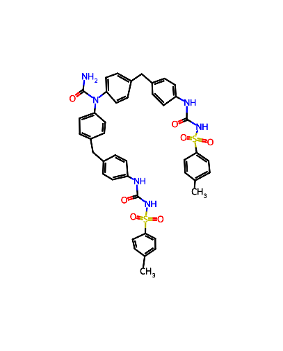 Cc1ccc(S(=O)(=O)NC(=O)Nc2ccc(Cc3ccc(N(C(N)=O)c4ccc(Cc5ccc(NC(=O)NS(=O)(=O)c6ccc(C)cc6)cc5)cc4)cc3)cc2)cc1